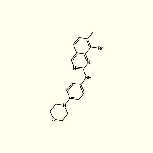 Cc1ccc2cnc(Nc3ccc(N4CCOCC4)cc3)nc2c1Br